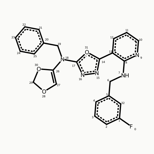 Fc1cccc(CNc2ncccc2-c2nnc(N(Cc3ccccc3)C3=COCO3)o2)c1